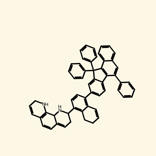 C1=Cc2c(-c3ccc4c(c3)C(c3ccccc3)(c3ccccc3)c3c-4c(-c4ccccc4)cc4ccccc34)ccc(C3CC=C4C=CC5=C(NCC=C5)C4N3)c2CC1